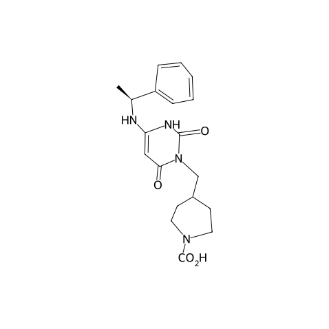 C[C@H](Nc1cc(=O)n(CC2CCN(C(=O)O)CC2)c(=O)[nH]1)c1ccccc1